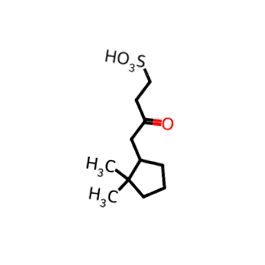 CC1(C)CCCC1CC(=O)CCS(=O)(=O)O